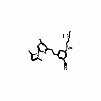 CNCCN(C)c1cc(C#N)cc(CCc2cc(C)cc(-n3c(C)ccc3C)n2)c1